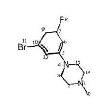 CN1CCN(C2=CC(F)CC(Br)=C2)CC1